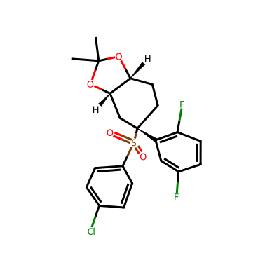 CC1(C)O[C@H]2C[C@@](c3cc(F)ccc3F)(S(=O)(=O)c3ccc(Cl)cc3)CC[C@H]2O1